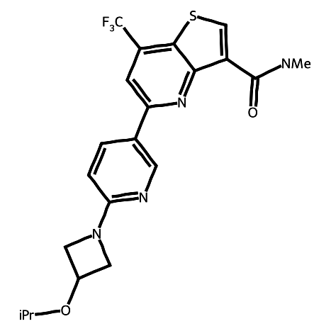 CNC(=O)c1csc2c(C(F)(F)F)cc(-c3ccc(N4CC(OC(C)C)C4)nc3)nc12